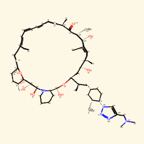 CO[C@@H]1C[C@H](C[C@@H](C)[C@@H]2C[C@@H](O)[C@H](C)/C=C(\C)[C@@H](O)[C@@H](OC)C(=O)[C@H](C)CC/C=C/C=C/C=C(\C)CC[C@@H]3CC[C@@H](C)[C@@](O)(O3)[C@@H](O)[C@H](O)N3CCCCC3[C@@H](O)O2)CC[C@@H]1n1cc(CN(C)C)nn1